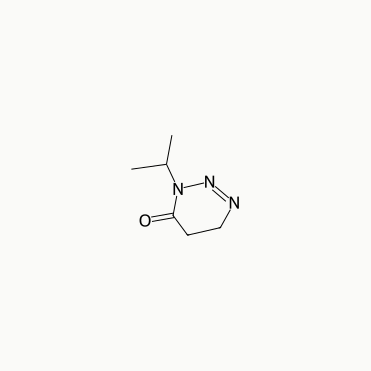 CC(C)N1N=NCCC1=O